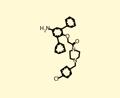 Nc1cc(-c2ccccc2)c(OCC(=O)N2CCN(Cc3ccc(Cl)cc3)CC2)c(-c2ccccc2)c1